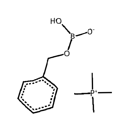 C[P+](C)(C)C.[O-]B(O)OCc1ccccc1